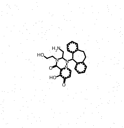 NCC1N(CCO)C(=O)c2c(O)c(=O)ccn2N1C1c2ccccc2CCc2ccccc21